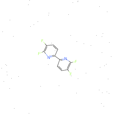 Fc1ccc(-c2ccc(F)c(F)n2)nc1F